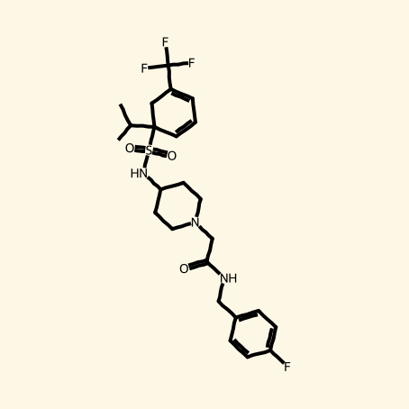 CC(C)C1(S(=O)(=O)NC2CCN(CC(=O)NCc3ccc(F)cc3)CC2)C=CC=C(C(F)(F)F)C1